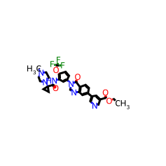 CCOC(=O)c1cncc(-c2ccc3c(=O)n(-c4ccc(OC(F)(F)F)c(NC(=O)C5(N6CCN(C)CC6)CC5)c4)cnc3c2)c1